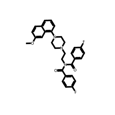 COc1ccc2cccc(N3CCN(CCN(C(=O)c4ccc(F)cc4)C(=O)c4ccc(F)cc4)CC3)c2c1